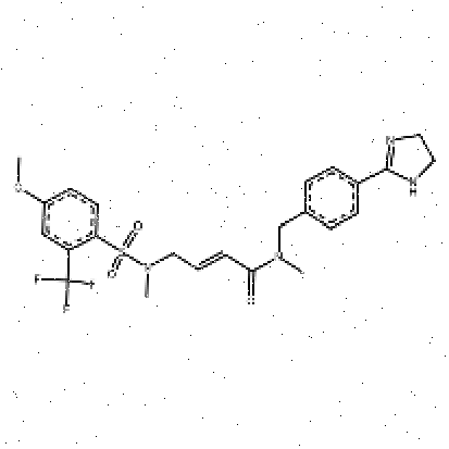 COc1ccc(S(=O)(=O)N(C)C/C=C/C(=O)N(C)Cc2ccc(C3=NCCN3)cc2)c(C(F)(F)F)c1